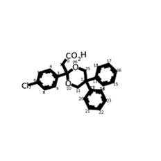 O=C(O)CC1(c2ccc(Cl)cc2)OCC(c2ccccc2)(c2ccccc2)CO1